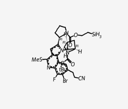 CSc1nc2c(F)c(Br)c(CCC#N)cc2c2c1cc([C@H]1CCCN1C(=O)OCC[SiH3])n2[C@H]1[C@@H]2C[C@H]1N(C(=O)OC(C)(C)C)C2